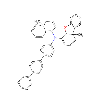 CC12C=CC=CC1=C(N(C1=CC=CC3(C)c4ccccc4OC13)c1ccc(-c3ccc(-c4ccccc4)cc3)cc1)C=CC2